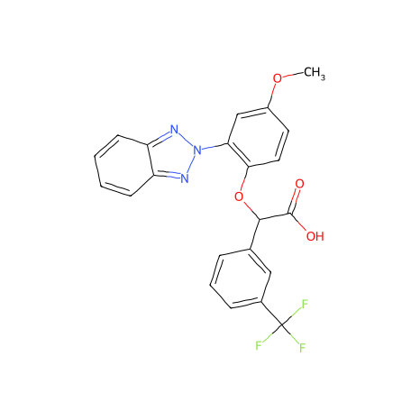 COc1ccc(OC(C(=O)O)c2cccc(C(F)(F)F)c2)c(-n2nc3ccccc3n2)c1